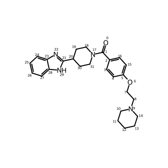 O=C(c1ccc(OCCN2CCCCC2)cc1)N1CCC(c2nc3ccccc3[nH]2)CC1